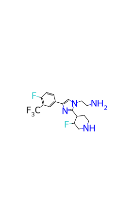 NCCn1cc(-c2ccc(F)c(C(F)(F)F)c2)nc1C1CCNCC1F